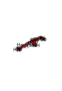 CN(CCOc1ccc(CC2SC(=O)NC2=O)cc1)c1ccc(OC(=O)C[C@@H](NC(=O)c2ccc(C3(C(F)(F)F)NN3)cc2)C(=O)NCCCOCCOCCOCCCNC(=O)CCCC[C@@H]2SC[C@@H]3NC(=O)N[C@@H]32)cn1